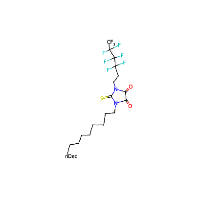 CCCCCCCCCCCCCCCCCCN1C(=O)C(=O)N(CCC(F)(F)C(F)(F)C(F)(F)C(F)(F)F)C1=S